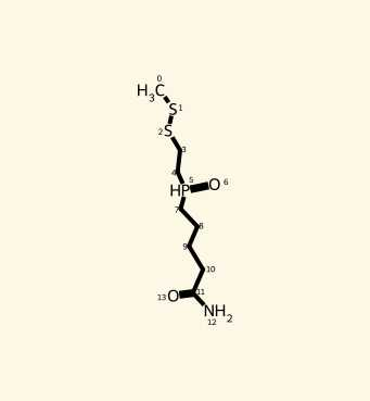 CSSCC[PH](=O)CCCCC(N)=O